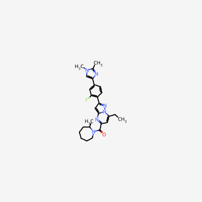 CCc1cc(C(=O)N2CCCCCC2C)nc2cc(-c3ccc(-c4cn(C)c(C)n4)cc3F)nn12